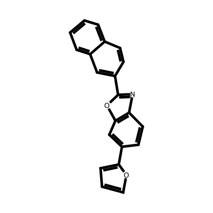 c1coc(-c2ccc3nc(-c4ccc5ccccc5c4)oc3c2)c1